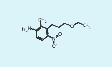 CCOCCCc1c([N+](=O)[O-])ccc(N)c1N